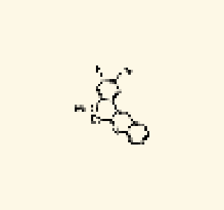 CCc1nc2ccccc2cc1-c1cc(C(C)C)c(F)cc1OC